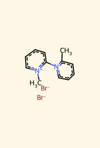 Cc1cccc[n+]1-c1cccc[n+]1C.[Br-].[Br-]